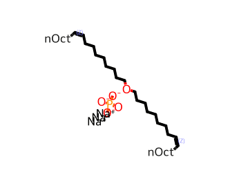 CCCCCCCC/C=C\CCCCCCCCOCCCCCCCC/C=C\CCCCCCCC.O=P([O-])([O-])[O-].[Na+].[Na+].[Na+]